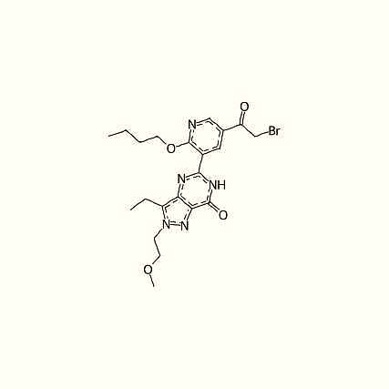 CCCCOc1ncc(C(=O)CBr)cc1-c1nc2c(CC)n(CCOC)nc2c(=O)[nH]1